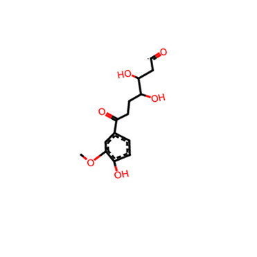 COc1cc(C(=O)CCC(O)C(O)C[C]=O)ccc1O